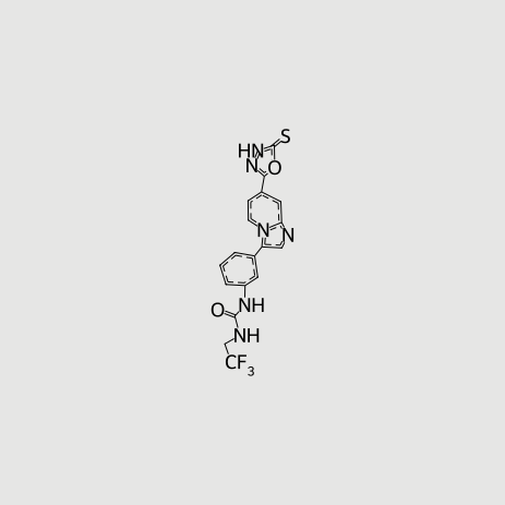 O=C(NCC(F)(F)F)Nc1cccc(-c2cnc3cc(-c4n[nH]c(=S)o4)ccn23)c1